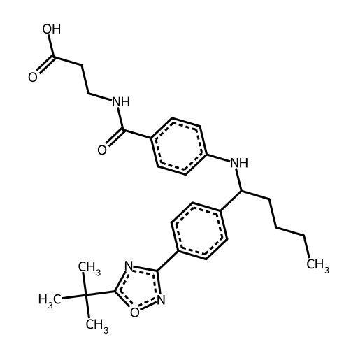 CCCCC(Nc1ccc(C(=O)NCCC(=O)O)cc1)c1ccc(-c2noc(C(C)(C)C)n2)cc1